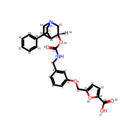 O=C(NCc1cccc(OCc2ccc(C(=O)O)o2)c1)O[C@H]1CN2CCC1C(c1ccccc1)C2